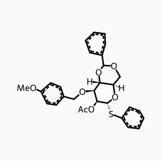 COc1ccc(CO[C@@H]2[C@H](OC(C)=O)[C@@H](Sc3ccccc3)O[C@@H]3COC(c4ccccc4)O[C@@H]23)cc1